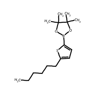 CCCCCCc1ccc(B2OC(C)(C)C(C)(C)O2)s1